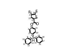 O=C(Oc1ccc([SH](c2ccccc2)c2ccccc2)cc1)c1cc(F)c(F)s1